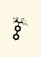 C[C@H]([C@H](C(N)=O)c1ccc(-c2ccccc2)cc1)C(F)(F)F